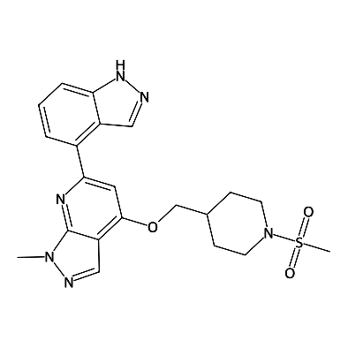 Cn1ncc2c(OCC3CCN(S(C)(=O)=O)CC3)cc(-c3cccc4[nH]ncc34)nc21